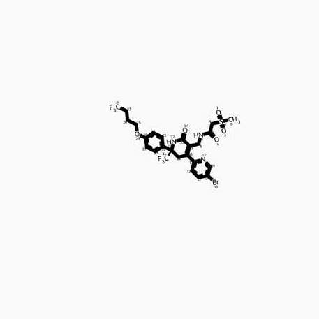 CS(=O)(=O)CC(=O)NCC1=C(c2ccc(Br)cn2)C[C@@](c2ccc(OCCCC(F)(F)F)cc2)(C(F)(F)F)NC1=O